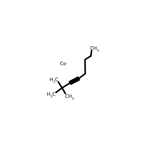 CCCCC#CC(C)(C)C.[Co]